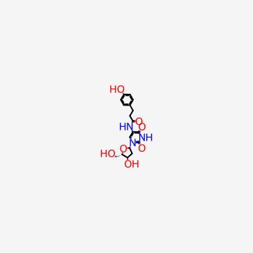 O=C(CCc1ccc(O)cc1)Nc1cn([C@@H]2CC(O)[C@H](CO)O2)c(=O)[nH]c1=O